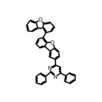 c1ccc(-c2cc(-c3ccc4oc5c(-c6cccc7oc8ccccc8c67)cccc5c4c3)nc(-c3ccccc3)n2)cc1